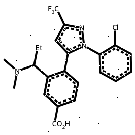 CCC(c1cc(C(=O)O)ccc1-c1cc(C(F)(F)F)nn1-c1ccccc1Cl)N(C)C